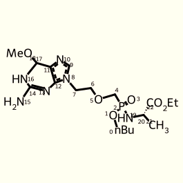 CCCCOP(=O)(COCCn1cnc2c1N=C(N)NC2OC)N[C@@H](C)C(=O)OCC